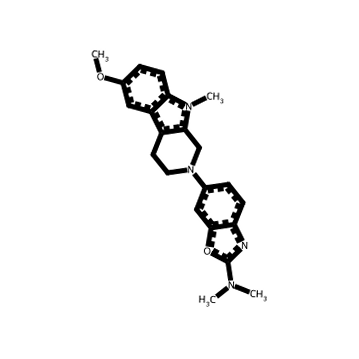 COc1ccc2c(c1)c1c(n2C)CN(c2ccc3nc(N(C)C)oc3c2)CC1